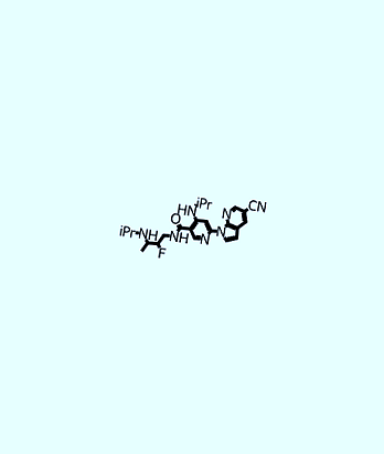 CC(C)Nc1cc(-n2ccc3cc(C#N)cnc32)ncc1C(=O)NCC(F)C(C)NC(C)C